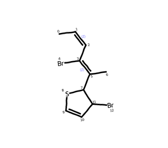 C/C=C\C(Br)=C(/C)C1SC=CC1Br